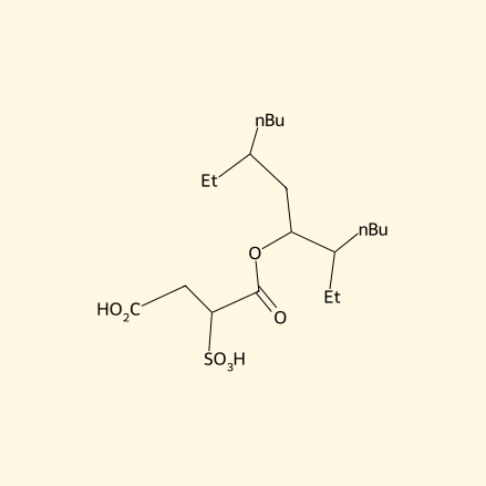 CCCCC(CC)CC(OC(=O)C(CC(=O)O)S(=O)(=O)O)C(CC)CCCC